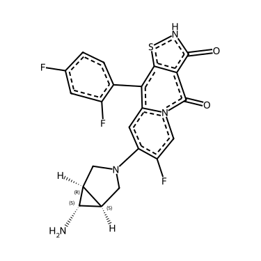 N[C@@H]1[C@H]2CN(c3cc4c(-c5ccc(F)cc5F)c5s[nH]c(=O)c5c(=O)n4cc3F)C[C@@H]12